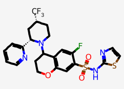 O=S(=O)(Nc1nccs1)c1cc2c(cc1F)C(N1CC[C@@H](C(F)(F)F)C[C@H]1c1ccccn1)CCO2